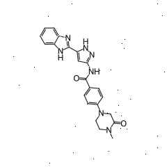 CN1CCN(c2ccc(C(=O)Nc3cc(-c4nc5ccccc5[nH]4)[nH]n3)cc2)CC1=O